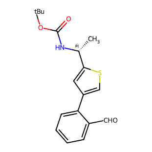 C[C@@H](NC(=O)OC(C)(C)C)c1cc(-c2ccccc2C=O)cs1